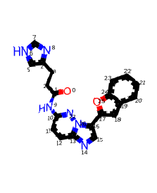 O=C(CCc1c[nH]cn1)Nc1ccc2ncc(-c3cc4ccccc4o3)n2n1